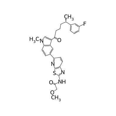 COCC(=O)Nc1nc2ccc(-c3ccc4c(c3)c(C(=O)CCC[C@@H](C)c3cccc(F)c3)cn4C)nc2s1